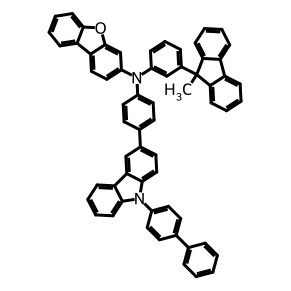 CC1(c2cccc(N(c3ccc(-c4ccc5c(c4)c4ccccc4n5-c4ccc(-c5ccccc5)cc4)cc3)c3ccc4c(c3)oc3ccccc34)c2)c2ccccc2-c2ccccc21